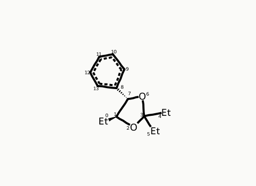 [CH2]C[C@@H]1OC(CC)(CC)O[C@H]1c1ccccc1